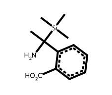 CC(N)(c1ccccc1C(=O)O)[Si](C)(C)C